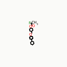 C[C@@H](F)C(=O)OC1CCC(COc2ccc(C3CC[CH]CC3)cc2)CC1